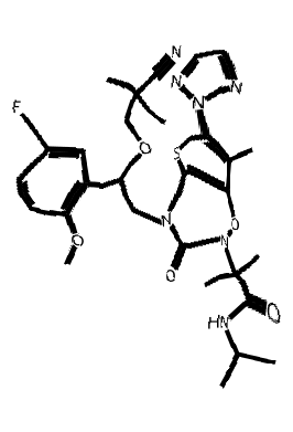 COc1ccc(F)cc1C(CN1C(=O)N(C(C)(C)C(=O)NC(C)C)Oc2c1sc(-n1nccn1)c2C)OCC(C)(C)C#N